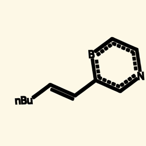 CCCCC=Cc1bccnc1